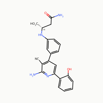 N#Cc1c(-c2cccc(N[C@@H](CC(N)=O)C(=O)O)c2)cc(-c2ccccc2O)nc1N